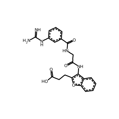 N=C(N)Nc1cccc(C(=O)NCC(=O)Nc2c(CCC(=O)O)oc3ccccc23)c1